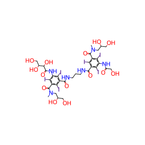 CN(CC(O)CO)C(=O)c1c(I)c(NC(=O)CO)c(I)c(C(=O)NCCCNC(=O)c2c(I)c(NC(=O)C(O)C(O)CO)c(I)c(C(=O)N(C)CC(O)CO)c2I)c1I